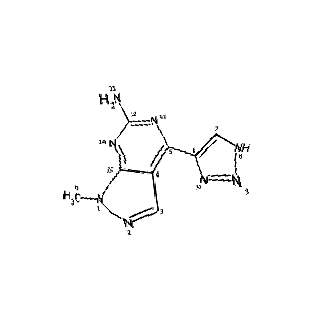 Cn1ncc2c(-c3c[nH]nn3)nc(N)nc21